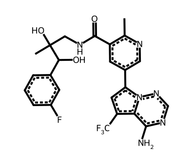 Cc1ncc(-c2cc(C(F)(F)F)c3c(N)ncnn23)cc1C(=O)NCC(C)(O)C(O)c1cccc(F)c1